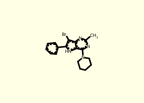 Cc1nc(N2CCCCC2)c2[nH]c(-c3ccccc3)c(Br)c2n1